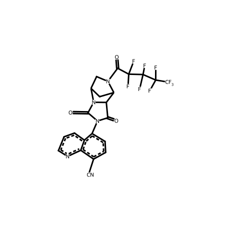 N#Cc1ccc(N2C(=O)C3C4CC(CN4C(=O)C(F)(F)C(F)(F)C(F)(F)C(F)(F)F)N3C2=O)c2cccnc12